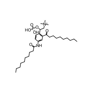 CCCCCCCCCC(=O)Nc1ccc(C(C[N+](C)(C)C)OP(=O)(O)O)c(C(=O)CCCCCCCCC)c1